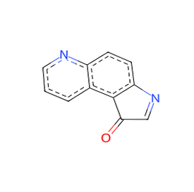 O=C1C=Nc2ccc3ncccc3c21